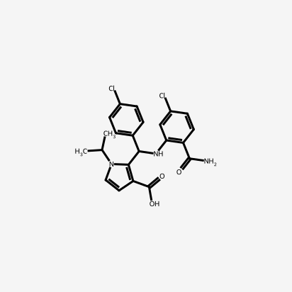 CC(C)n1ccc(C(=O)O)c1C(Nc1cc(Cl)ccc1C(N)=O)c1ccc(Cl)cc1